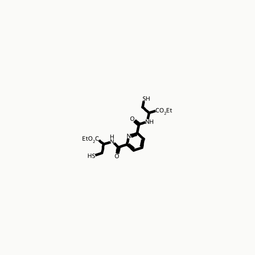 CCOC(=O)C(CS)NC(=O)c1cccc(C(=O)NC(CS)C(=O)OCC)n1